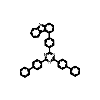 c1ccc(-c2ccc(-c3nc(-c4ccc(-c5ccccc5)cc4)nc(-c4ccc(-c5cccc6sc7ccccc7c56)cc4)n3)cc2)cc1